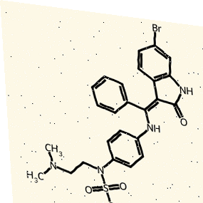 CN(C)CCN(c1ccc(N/C(=C2\C(=O)Nc3cc(Br)ccc32)c2ccccc2)cc1)S(C)(=O)=O